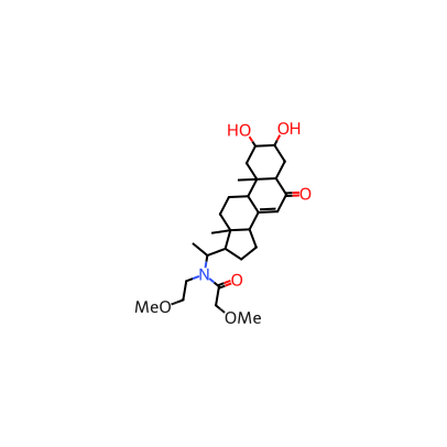 COCCN(C(=O)COC)C(C)C1CCC2C3=CC(=O)C4CC(O)C(O)CC4(C)C3CCC21C